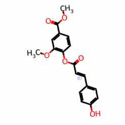 COC(=O)c1ccc(OC(=O)/C=C/c2ccc(O)cc2)c(OC)c1